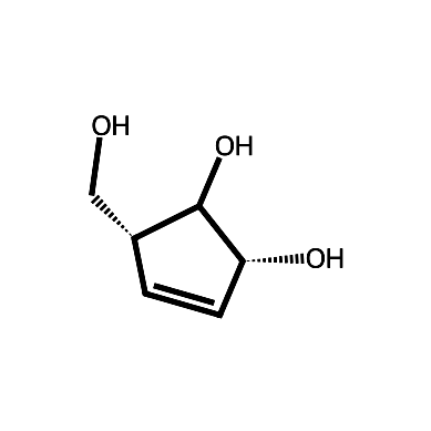 OC[C@H]1C=C[C@@H](O)C1O